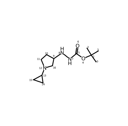 CC(C)(C)OC(=O)NNC1CCN(C2CC2)C1